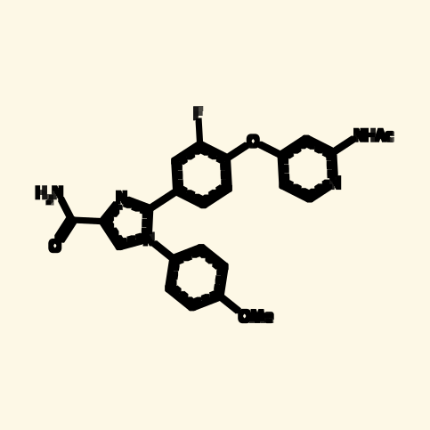 COc1ccc(-n2cc(C(N)=O)nc2-c2ccc(Oc3ccnc(NC(C)=O)c3)c(F)c2)cc1